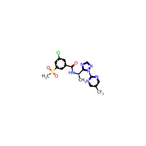 C[C@@H](NC(=O)c1cc(Cl)cc(S(C)(=O)=O)c1)c1ncnn1-c1ncc(C(F)(F)F)cn1